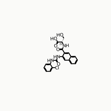 O=C(Nc1ccccc1Cl)Nc1cc2ccccc2cc1C(=O)N[C@@H](CO)C(=O)O